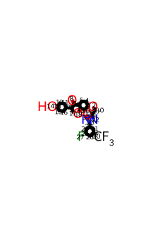 C[C@@H](Oc1ccc2c(=O)c(-c3ccc(O)cc3)coc2c1)c1nc(-c2cc(F)cc(C(F)(F)F)c2)no1